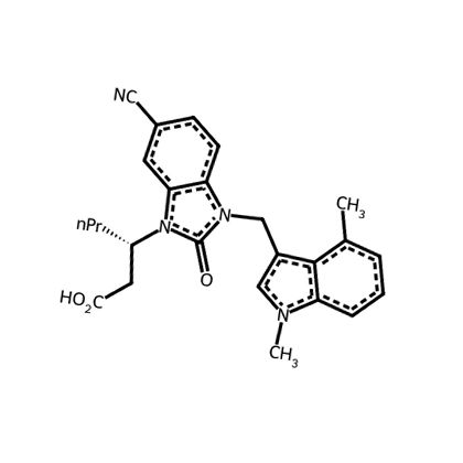 CCC[C@@H](CC(=O)O)n1c(=O)n(Cc2cn(C)c3cccc(C)c23)c2ccc(C#N)cc21